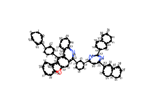 c1ccc(-c2ccc(-c3c4c(cc5c(-c6cccc(-c7cc(-c8ccc9ccccc9c8)nc(-c8ccc9ccccc9c8)n7)c6)nc6ccccc6c35)oc3ccccc34)cc2)cc1